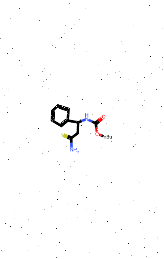 CCCCOC(=O)NC(CC(N)=S)c1ccccc1